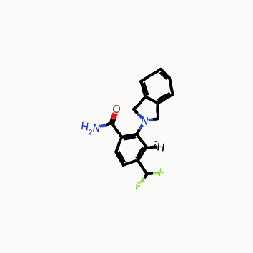 [2H]c1c(C(F)F)ccc(C(N)=O)c1N1Cc2ccccc2C1